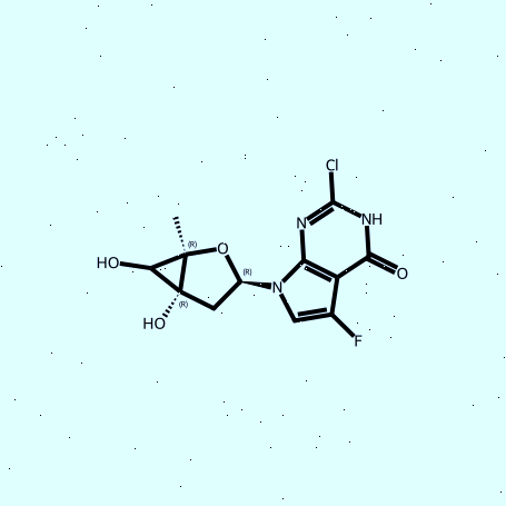 C[C@]12O[C@@H](n3cc(F)c4c(=O)[nH]c(Cl)nc43)C[C@@]1(O)C2O